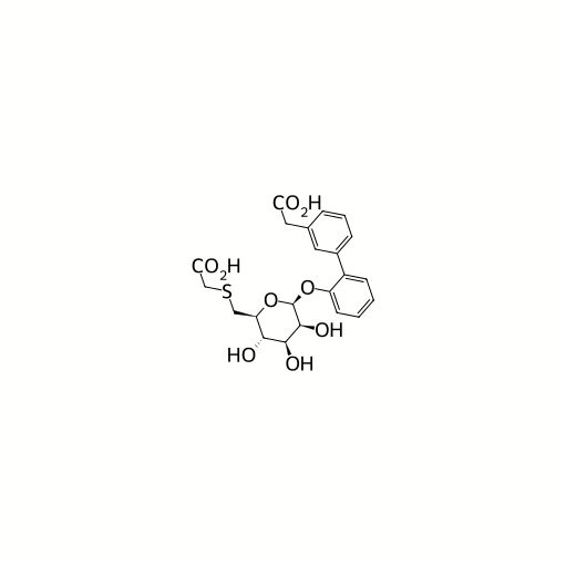 O=C(O)CSC[C@H]1O[C@@H](Oc2ccccc2-c2cccc(CC(=O)O)c2)[C@@H](O)[C@@H](O)[C@@H]1O